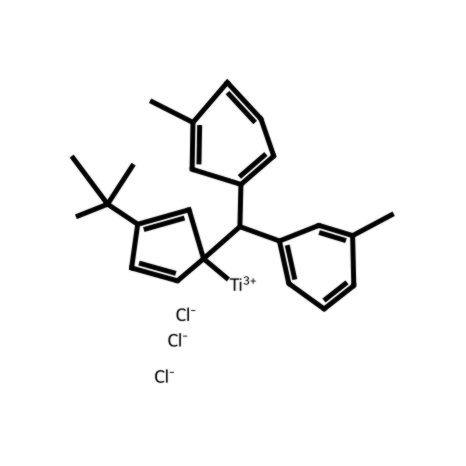 Cc1cccc(C(c2cccc(C)c2)[C]2([Ti+3])C=CC(C(C)(C)C)=C2)c1.[Cl-].[Cl-].[Cl-]